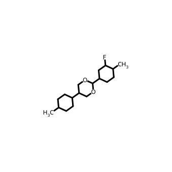 CC1CCC(C2COC(C3CCC(C)C(F)C3)OC2)CC1